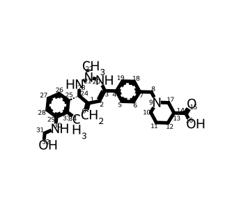 C=C1C=C(c2ccc(CN3CCCC(C(=O)O)C3)cc2)NN(C)N[C@H]1c1cccc(NCO)c1C